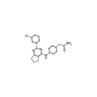 NC(=O)Cc1ccc(Nc2nc(-c3cccc(Cl)c3)nc3c2CCC3)cc1